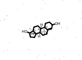 C[C@]12CC[C@@H]3[C@@H](CCC4=CC(O)CC[C@@]43C=O)[C@@H]1CCC2O